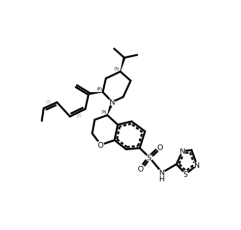 C=C(/C=C\C=C/C)[C@H]1C[C@@H](C(C)C)CCN1[C@@H]1CCOc2cc(S(=O)(=O)Nc3ncns3)ccc21